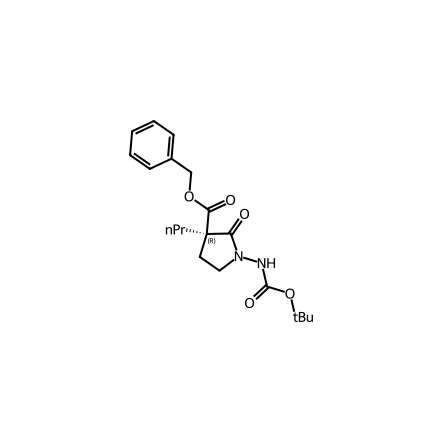 CCC[C@@]1(C(=O)OCc2ccccc2)CCN(NC(=O)OC(C)(C)C)C1=O